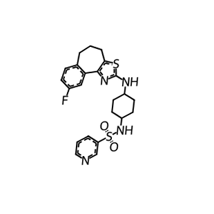 O=S(=O)(NC1CCC(Nc2nc3c(s2)CCCc2ccc(F)cc2-3)CC1)c1cccnc1